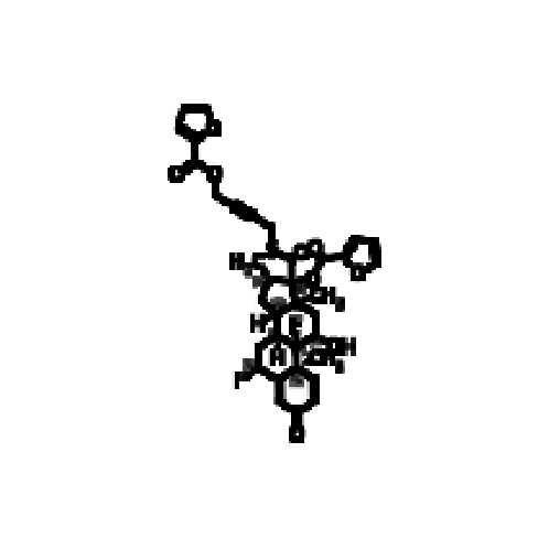 C[C@@H]1C[C@H]2[C@@H]3C[C@H](F)C4=CC(=O)C=C[C@]4(C)[C@@]3(F)[C@@H](O)C[C@]2(C)[C@@]1(OC(=O)c1ccco1)C(=O)SCC#CCOC(=O)c1ccco1